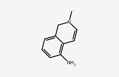 [CH2]N1C=Cc2c(N)cccc2C1